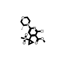 COC(=O)c1c(C2(S(C)(=O)=O)CC2)cc(N2CCOC[C@H]2C)nc1Cl